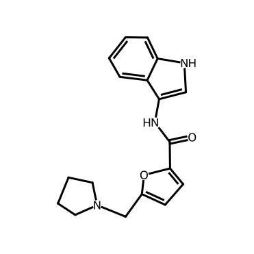 O=C(Nc1c[nH]c2ccccc12)c1ccc(CN2CCCC2)o1